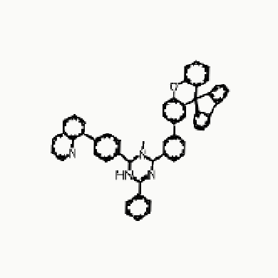 CN1C(c2cccc(-c3ccc4c(c3)C3(c5ccccc5O4)c4ccccc4-c4ccccc43)c2)N=C(c2ccccc2)NC1c1ccc(-c2cccc3cccnc23)cc1